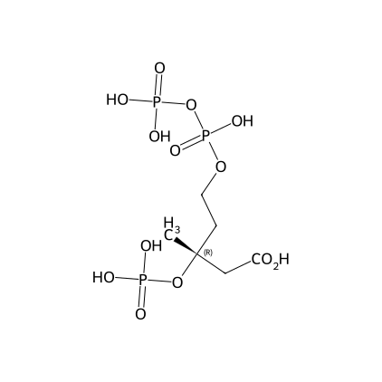 C[C@@](CCOP(=O)(O)OP(=O)(O)O)(CC(=O)O)OP(=O)(O)O